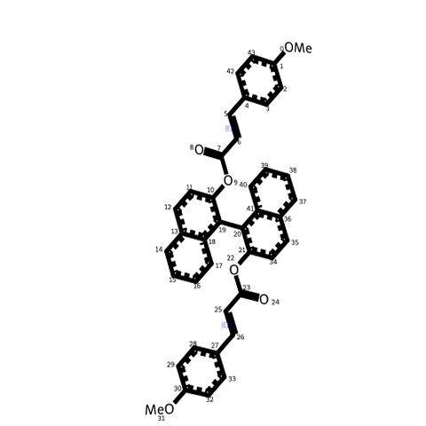 COc1ccc(/C=C/C(=O)Oc2ccc3ccccc3c2-c2c(OC(=O)/C=C/c3ccc(OC)cc3)ccc3ccccc23)cc1